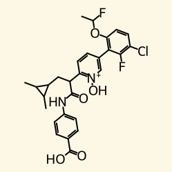 CC(F)Oc1ccc(Cl)c(F)c1-c1ccc(C(CC2C(C)C2C)C(=O)Nc2ccc(C(=O)O)cc2)[n+](O)c1